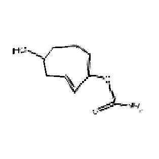 NC(=O)OC1/C=C/CC(O)CCC1